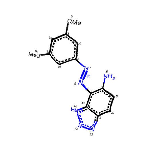 COc1cc(/N=N/c2c(N)ccc3nn[nH]c23)cc(OC)c1